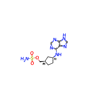 NS(=O)(=O)OC[C@@H]1CC[C@H](Nc2ncnc3[nH]cnc23)C1